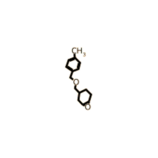 Cc1ccc(COCC2CCC3OC3C2)cc1